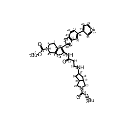 CC(C)(C)OC(=O)N1CCc2c(sc(NC(=O)CCNC3CC4CN(C(=O)OC(C)(C)C)CC4C3)c2-c2nc3cc(-c4ccncc4)ccc3s2)C1